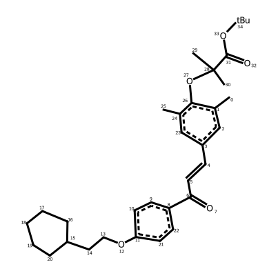 Cc1cc(C=CC(=O)c2ccc(OCCC3CCCCC3)cc2)cc(C)c1OC(C)(C)C(=O)OC(C)(C)C